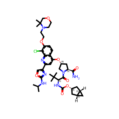 CC(C)Nc1nc(-c2cc(O[C@@H]3C[C@@H](C(N)=O)N(C(=O)[C@@H](NC(=O)O[C@@H]4C[C@@H]5C[C@@H]5C4)C(C)(C)C)C3)c3ccc(OCCN4CCOCC4(C)C)c(Cl)c3n2)co1